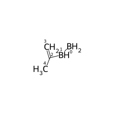 BBC(=C)C